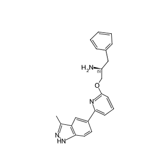 Cc1n[nH]c2ccc(-c3cccc(OC[C@@H](N)Cc4ccccc4)n3)cc12